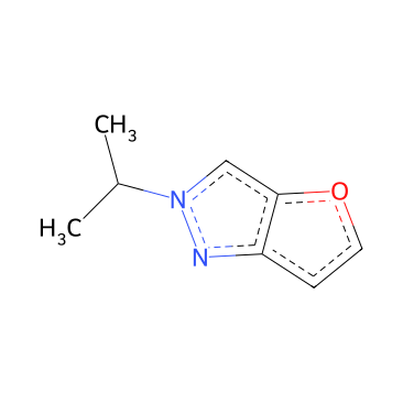 CC(C)n1cc2occc2n1